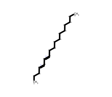 CCC/C=C/C=C/CCCCCCCCCC